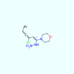 CC(C)C=C=C(Cl)/C=C(\NN)N1CCOCC1